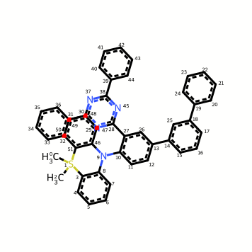 CS1(C)c2ccccc2N(c2ccc(-c3cccc(-c4ccccc4)c3)cc2-c2nc(-c3ccccc3)nc(-c3ccccc3)n2)c2ccccc21